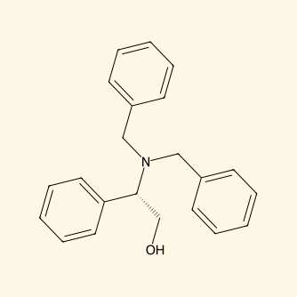 OC[C@H](c1ccccc1)N(Cc1ccccc1)Cc1ccccc1